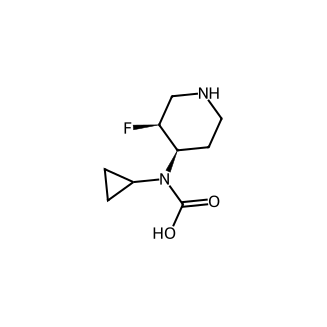 O=C(O)N(C1CC1)[C@@H]1CCNC[C@@H]1F